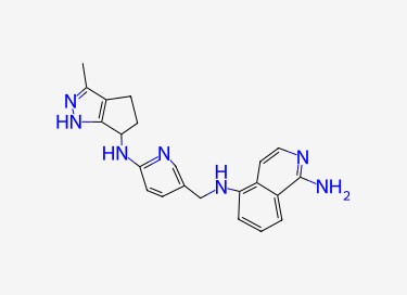 Cc1n[nH]c2c1CCC2Nc1ccc(CNc2cccc3c(N)nccc23)cn1